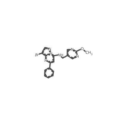 COc1ncc(CNc2cc(-c3ccccc3)nc3c(Br)cnn23)cn1